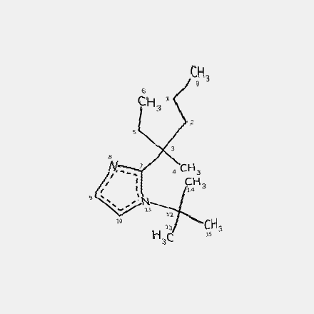 CCCC(C)(CC)c1nccn1C(C)(C)C